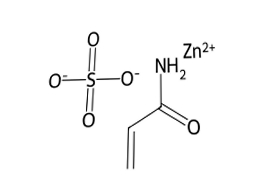 C=CC(N)=O.O=S(=O)([O-])[O-].[Zn+2]